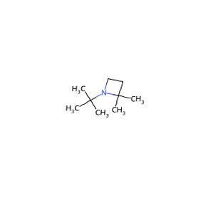 CC(C)(C)N1CCC1(C)C